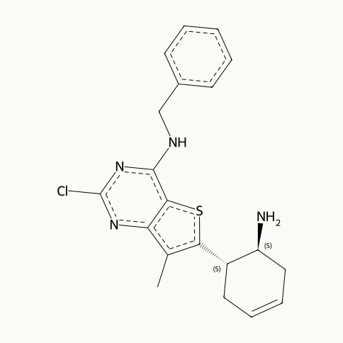 Cc1c([C@H]2CC=CC[C@@H]2N)sc2c(NCc3ccccc3)nc(Cl)nc12